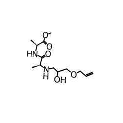 C=CCOCC(O)CN[C@@H](C)C(=O)N[C@@H](C)C(=O)OC